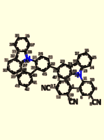 N#Cc1ccc(-c2cc(C#N)ccc2-n2c3ccccc3c3cc(-c4ccc(-n5c6ccccc6c6ccccc65)c(-c5ccccc5)c4)ccc32)c(C#N)c1